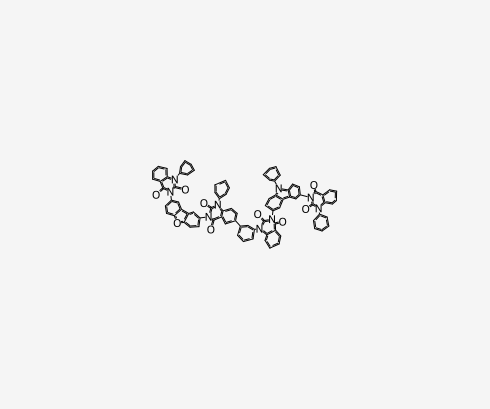 O=c1c2ccccc2n(-c2ccccc2)c(=O)n1-c1ccc2oc3ccc(-n4c(=O)c5cc(-c6cccc(-n7c(=O)n(-c8ccc9c(c8)c8cc(-n%10c(=O)c%11ccccc%11n(-c%11ccccc%11)c%10=O)ccc8n9-c8ccccc8)c(=O)c8ccccc87)c6)ccc5n(-c5ccccc5)c4=O)cc3c2c1